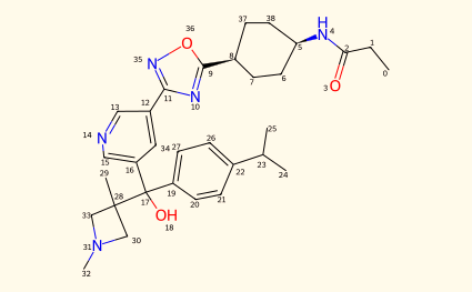 CCC(=O)N[C@H]1CC[C@@H](c2nc(-c3cncc(C(O)(c4ccc(C(C)C)cc4)C4(C)CN(C)C4)c3)no2)CC1